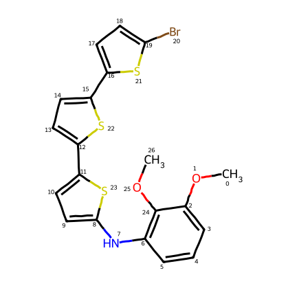 COc1cccc(Nc2ccc(-c3ccc(-c4ccc(Br)s4)s3)s2)c1OC